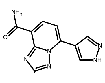 NC(=O)c1ccc(-c2cn[nH]c2)n2n[c]nc12